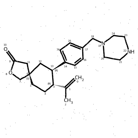 C=C(C)[C@@H]1CC[C@]2(COC(=O)C2)C[C@H]1c1ccc(CN2CCNCC2)cc1